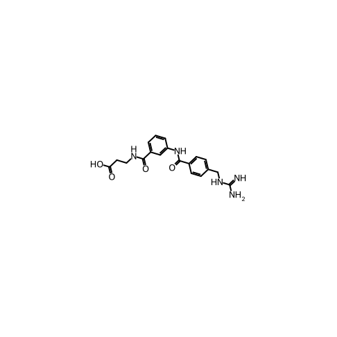 N=C(N)NCc1ccc(C(=O)Nc2cccc(C(=O)NCCC(=O)O)c2)cc1